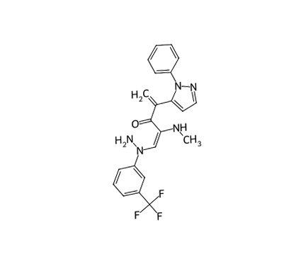 C=C(C(=O)/C(=C\N(N)c1cccc(C(F)(F)F)c1)NC)c1ccnn1-c1ccccc1